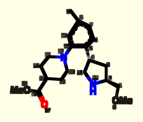 COC[C@@H]1C[C@@H](c2ccc(C)cc2N2CCC(C(=O)OC)CC2)CN1